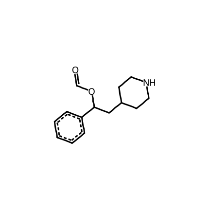 O=COC(CC1CCNCC1)c1ccccc1